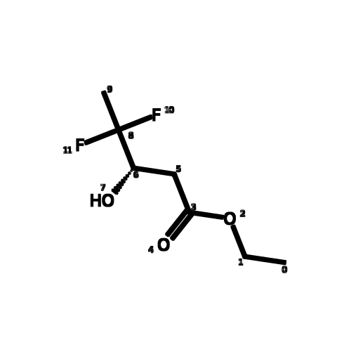 CCOC(=O)C[C@H](O)C(C)(F)F